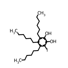 CCCCCCc1c(O)c(O)c(I)c(CCCCCC)c1CCCCCC